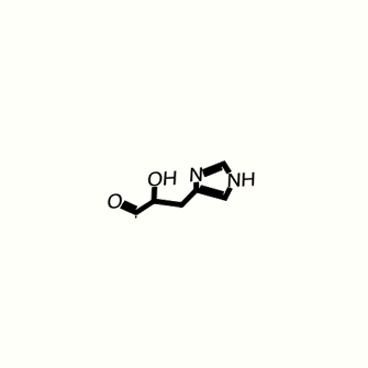 O=[C]C(O)Cc1c[nH]cn1